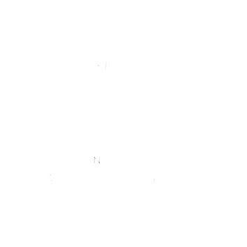 CC(C)Cc1scc[n+]1CC(=O)c1ccccc1.[Cl-]